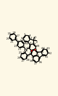 CC1(C)c2ccccc2-c2c(N(c3ccc(-c4ccccc4)cc3)c3ccccc3-c3ccc4c5c(cccc35)-c3ccccc3-4)cccc21